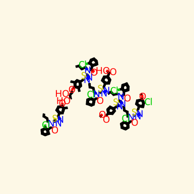 CCCCN(C(=O)c1ccccc1Cl)c1nnc(-c2cc(C)c(OCC(O)CO)c(C)c2)s1.CCCCN(C(=O)c1ccccc1Cl)c1nnc(-c2ccc(C(=O)O)cc2)s1.CCCCN(C(=O)c1ccccc1Cl)c1nnc(-c2ccc(C(=O)OC)cc2)s1.CCCCN(C(=O)c1ccccc1Cl)c1nnc(-c2ccc(OC)c(C)c2)s1.CCCCN(C(=O)c1ccccc1Cl)c1nnc(-c2ccc(OC)c(Cl)c2)s1